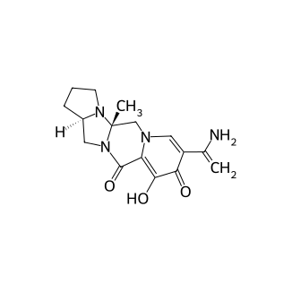 C=C(N)c1cn2c(c(O)c1=O)C(=O)N1C[C@H]3CCCN3[C@]1(C)C2